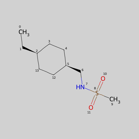 CC[C@H]1CC[C@@H](CNS(C)(=O)=O)CC1